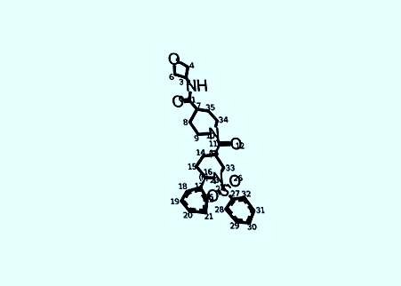 O=C(NC1COC1)C1CCN(C(=O)[C@@H]2CC[C@H](c3ccccc3)N(S(=O)(=O)c3ccccc3)C2)CC1